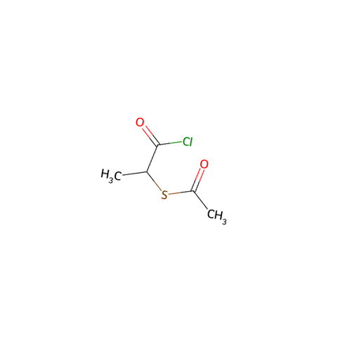 CC(=O)SC(C)C(=O)Cl